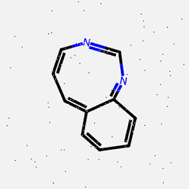 C1=CN=CN=c2ccccc2=C1